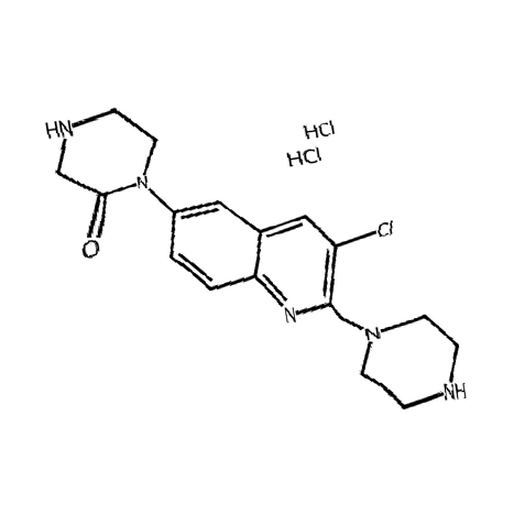 Cl.Cl.O=C1CNCCN1c1ccc2nc(N3CCNCC3)c(Cl)cc2c1